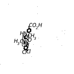 CN1c2nc(Nc3cccc(CC(=O)O)c3)n(C)c2C(=O)N(Cc2ccc(Cl)c(Cl)c2)C1O